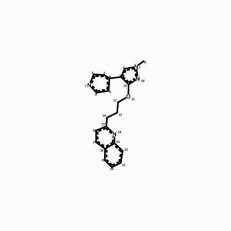 Cn1cc(-c2ccncc2)c(OCCCc2ccc3ccccc3n2)n1